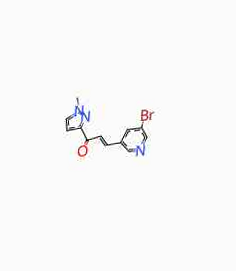 Cn1ccc(C(=O)C=Cc2cncc(Br)c2)n1